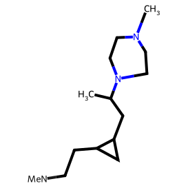 CNCCC1CC1CC(C)N1CCN(C)CC1